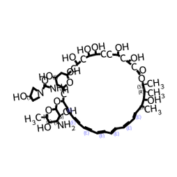 C[C@@H]1OC(=O)CC(O)CC(O)CCC(O)C(O)CC(O)CC2(O)C[C@H](O)C(NC(=O)N3CC[C@H](O)C3)[C@H](CC(OC3O[C@H](C)[C@@H](O)[C@H](N)[C@@H]3O)/C=C/C=C/C=C/C=C/C=C/C=C/C=C/[C@H](C)C(O)[C@H]1C)O2